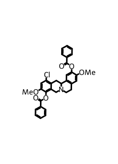 COc1cc2c(cc1OC(=O)c1ccccc1)C1Cc3c(Cl)cc(OC)c(OC(=O)c4ccccc4)c3CN1CC2